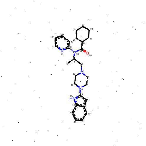 C[C@H](CN1CCN(c2cc3ccccc3[nH]2)CC1)N(C(=O)C1CCCCC1)c1ccccn1